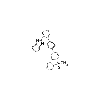 CP(=S)(c1ccccc1)c1ccc(-c2ccc3c4ccccc4c4nc5ccccc5n4c3c2)cc1